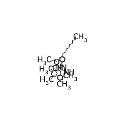 CCCCCCCCCc1ccc(C(=N/C=N)/N=C(\Cc2ccc(C)cc2C)C2(C)CC=C(C)C=C2C)c(OCCC)c1